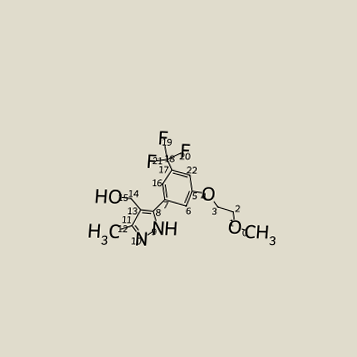 COCCOc1cc(-c2[nH]nc(C)c2CO)cc(C(F)(F)F)c1